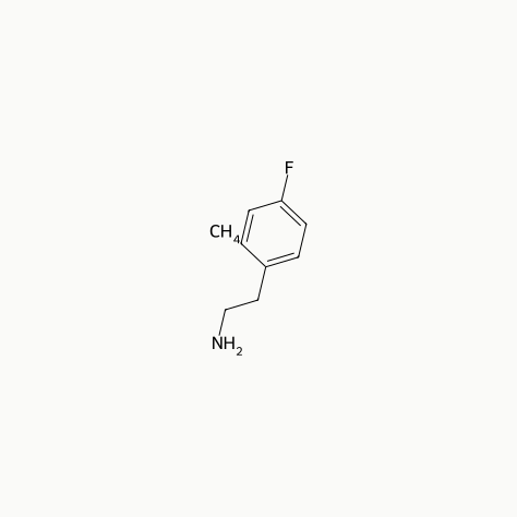 C.NCCc1ccc(F)cc1